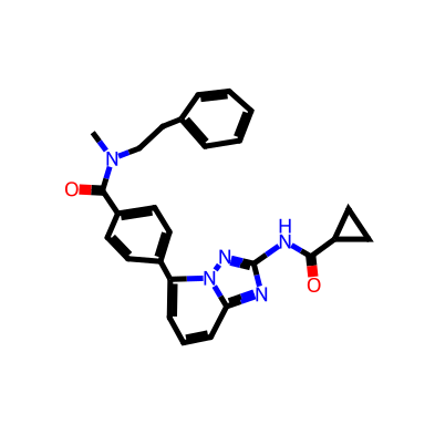 CN(CCc1ccccc1)C(=O)c1ccc(-c2cccc3nc(NC(=O)C4CC4)nn23)cc1